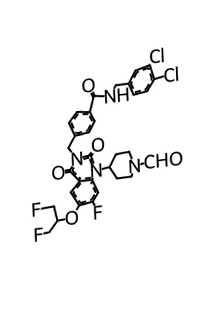 O=CN1CCC(n2c(=O)n(Cc3ccc(C(=O)NCc4ccc(Cl)c(Cl)c4)cc3)c(=O)c3cc(OC(CF)CF)c(F)cc32)CC1